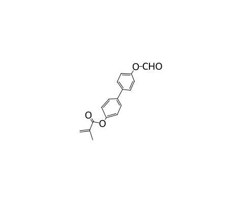 C=C(C)C(=O)Oc1ccc(-c2ccc(OC=O)cc2)cc1